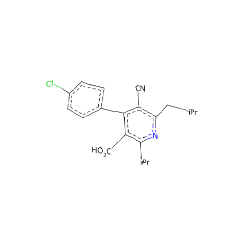 CC(C)Cc1nc(C(C)C)c(C(=O)O)c(-c2ccc(Cl)cc2)c1C#N